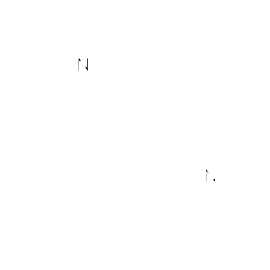 C1=CC2=CC=NCC2C=N1